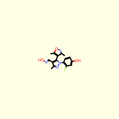 Cc1nn(-c2ccc(O)cc2F)c(-c2c(C)noc2C)c1C=NO